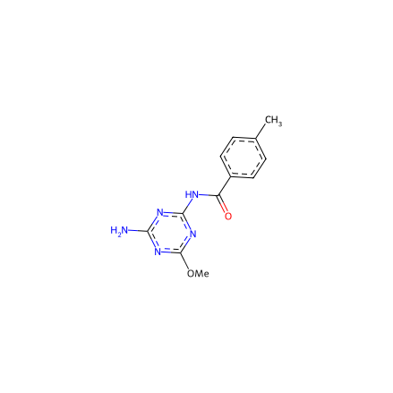 COc1nc(N)nc(NC(=O)c2ccc(C)cc2)n1